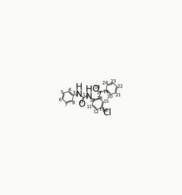 O=C(Nc1ccccc1)Nc1ccc(Cl)cc1C(=O)c1ccccc1